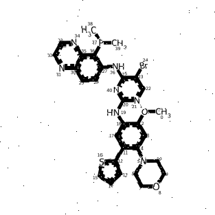 COc1cc(N2CCOCC2)c(-c2cccs2)cc1Nc1ncc(Br)c(Nc2ccc3nccnc3c2P(C)C)n1